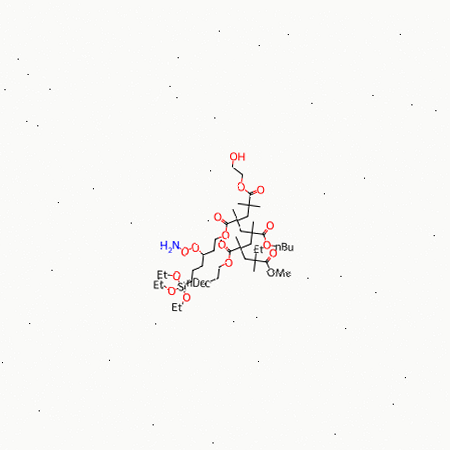 CCCCCCCCCCCCOC(=O)C(C)(CC(C)(CC)C(=O)OC)CC(C)(CC(C)(CC(C)(C)C(=O)OCCO)C(=O)OCCC(CCC[Si](OCC)(OCC)OCC)OON)C(=O)OCCCC